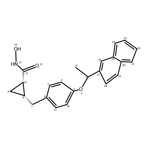 CC(Oc1ccc(C[C@@H]2C[C@@H]2C(=O)NO)cc1)c1ccc2ccccc2c1